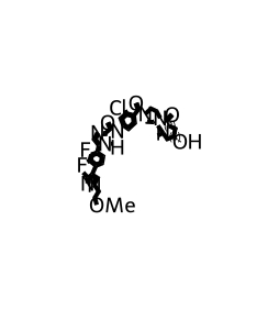 COCCn1cc(-c2ccc(-c3cnc(C(=O)Nc4ccc(C(=O)N5CCN(C(=O)[C@H]6C[C@H](O)C[N+]6(C)C)CC5)c(Cl)c4)n3C)c(F)c2F)c(C)n1